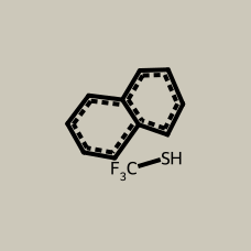 FC(F)(F)S.c1ccc2ccccc2c1